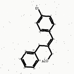 CCc1ccc(C=C(COC(C)=O)Cc2ccccc2)cc1